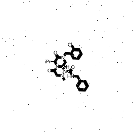 CC(C)[C@H]1C(=O)N(Cc2ccccc2Cl)C[C@H]2N1C(=O)CN(C)N2C(=O)NCc1ccccc1